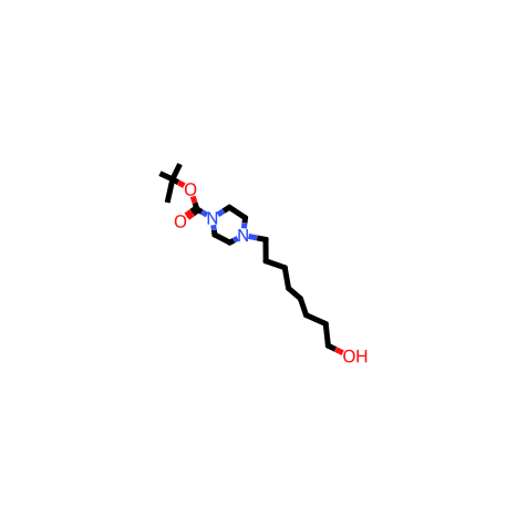 CC(C)(C)OC(=O)N1CCN(CCCCCCCCO)CC1